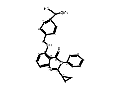 COC(O)c1ccc(CNc2cccc3nc(C4CC4)n(-c4ccccc4)c(=O)c23)cc1